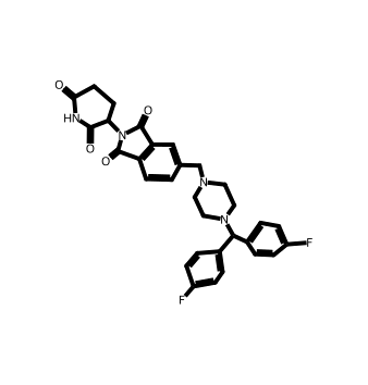 O=C1CCC(N2C(=O)c3ccc(CN4CCN(C(c5ccc(F)cc5)c5ccc(F)cc5)CC4)cc3C2=O)C(=O)N1